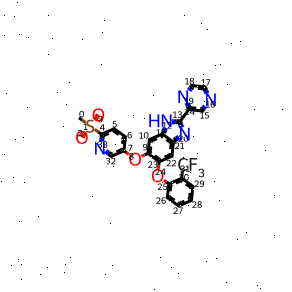 CS(=O)(=O)c1ccc(Oc2cc3[nH]c(-c4cnccn4)nc3cc2Oc2ccccc2C(F)(F)F)cn1